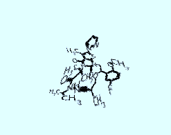 COc1ccc(F)cc1C(Cn1c(=O)n(C(C)(C)C(=O)NC(C)C)c(=O)c2c(C)c(-n3cccn3)sc21)OCC(C)C#N